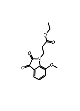 CCOC(=O)CCN1C(=O)C(=O)c2cccc(OC)c21